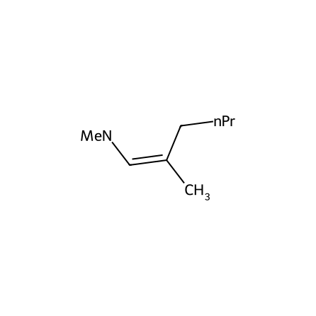 CCCC/C(C)=C\NC